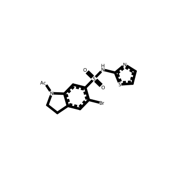 CC(=O)N1CCc2cc(Br)c(S(=O)(=O)Nc3nccs3)cc21